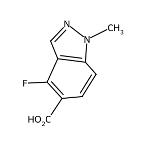 Cn1ncc2c(F)c(C(=O)O)ccc21